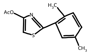 CC(=O)Oc1csc(-c2cc(C)ccc2C)n1